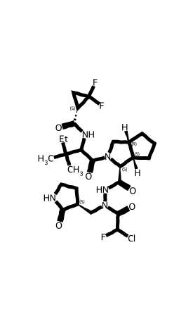 CCC(C)(C)C(NC(=O)[C@@H]1CC1(F)F)C(=O)N1C[C@@H]2CCC[C@@H]2[C@H]1C(=O)NN(C[C@@H]1CCNC1=O)C(=O)C(F)Cl